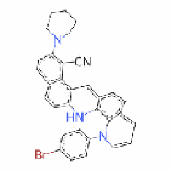 N#Cc1c(N2CCCCC2)ccc2ccc3c(c12)C=c1ccc2c(c1N3)N(c1ccc(Br)cc1)C=CC=2